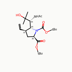 C=C[C@@H]1C[C@H](C(=O)OC(C)(C)C)N(C(=O)OC(C)(C)C)[C@H]1[C@@H](NC(C)=O)C(C)(C)O